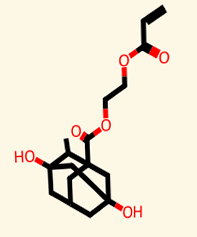 C=CC(=O)OCCOC(=O)C12CC3CC(O)(CC(O)(C3)C1C)C2